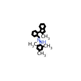 CC1=Cc2ccccc2C1c1ccccc1/C=N/Nc1c(C)cc(C)cc1C